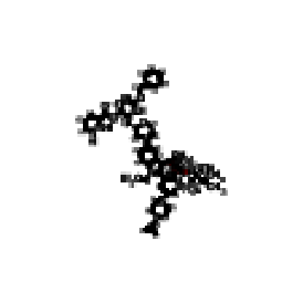 CCn1c(-c2cc(N3CCN(C4CC4)CC3)cnc2[C@H](C)OC)c(CC(C)(C)CO[Si](C)(C)C(C)(C)C)c2cc(N3CCO[C@@H](C[C@H](NC(=O)OCc4ccccc4)C(=O)OC(=O)C4CCCNN4)C3)ccc21